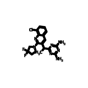 CC(c1nc(N)nc(N)n1)c1cc2cccc(Cl)c2nc1N1CCC(F)(F)C1